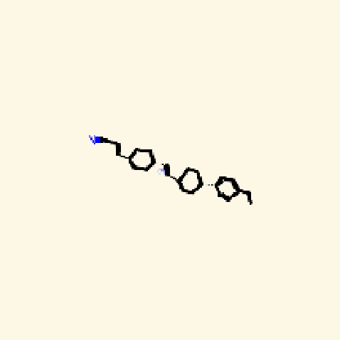 CCc1ccc([C@H]2CC[C@H](/C=C/[C@H]3CC[C@H](C=CC#N)CC3)CC2)cc1